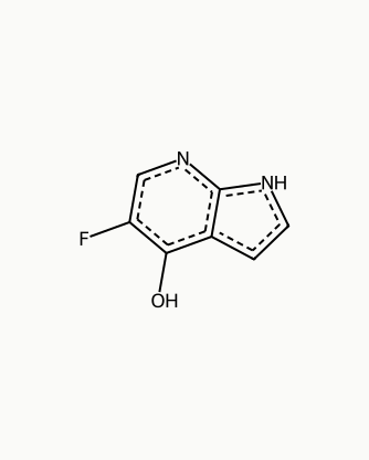 Oc1c(F)cnc2[nH]ccc12